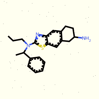 CCCN(c1nc2cc3c(cc2s1)CC(N)CC3)C(C)c1ccccc1